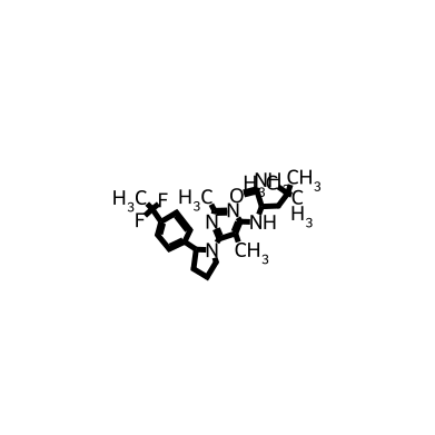 Cc1nc(NC(CC(C)(C)C)C(N)=O)c(C)c(N2CCCC2c2ccc(C(C)(F)F)cc2)n1